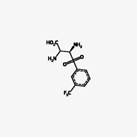 NC(C(=O)O)[C@@H](N)S(=O)(=O)c1cccc(C(F)(F)F)c1